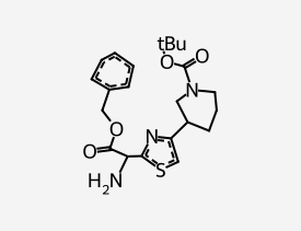 CC(C)(C)OC(=O)N1CCCC(c2csc(C(N)C(=O)OCc3ccccc3)n2)C1